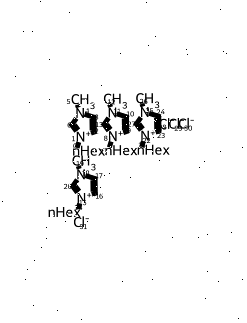 CCCCCC[n+]1ccn(C)c1.CCCCCC[n+]1ccn(C)c1.CCCCCC[n+]1ccn(C)c1.CCCCCC[n+]1ccn(C)c1.[Cl-].[Cl-].[Cl-].[Cl-]